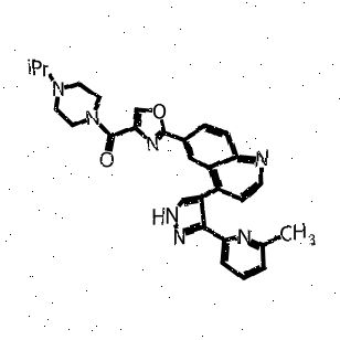 Cc1cccc(-c2n[nH]cc2-c2ccnc3ccc(-c4nc(C(=O)N5CCN(C(C)C)CC5)co4)cc23)n1